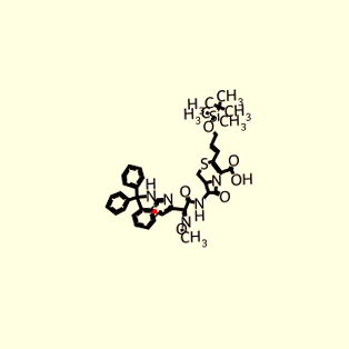 CON=C(C(=O)NC1C(=O)N2C(C(=O)O)=C(C=CCO[Si](C)(C)C(C)(C)C)SCC12)c1csc(NC(c2ccccc2)(c2ccccc2)c2ccccc2)n1